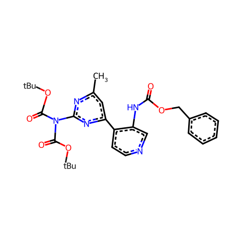 Cc1cc(-c2ccncc2NC(=O)OCc2ccccc2)nc(N(C(=O)OC(C)(C)C)C(=O)OC(C)(C)C)n1